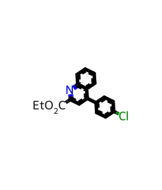 CCOC(=O)c1cc(-c2ccc(Cl)cc2)c2ccccc2n1